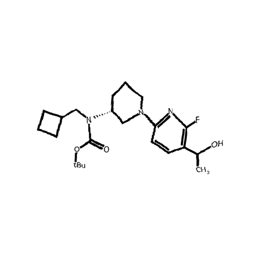 CC(O)c1ccc(N2CCC[C@@H](N(CC3CCC3)C(=O)OC(C)(C)C)C2)nc1F